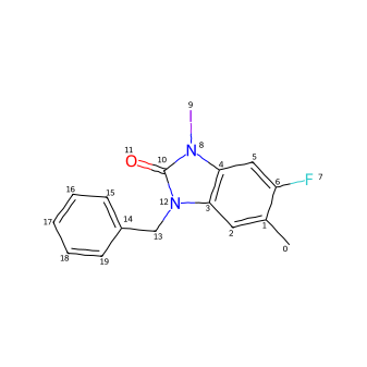 Cc1cc2c(cc1F)n(I)c(=O)n2Cc1ccccc1